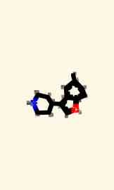 Cc1ccc2occ(C3CC[N]CC3)c2c1